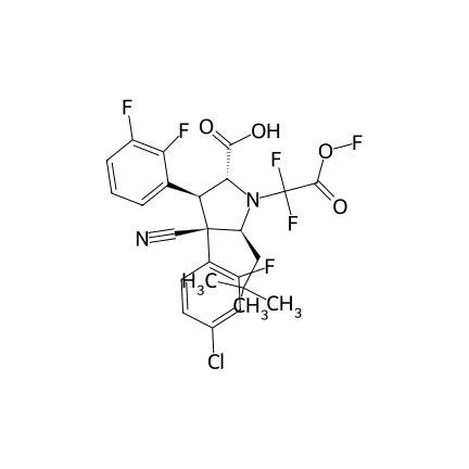 CC(C)(C)C[C@@H]1N(C(F)(F)C(=O)OF)[C@@H](C(=O)O)[C@H](c2cccc(F)c2F)[C@@]1(C#N)c1ccc(Cl)cc1F